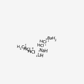 Cl.Cl.Cl.Cl.[BaH2].[CaH2].[LiH].[NaH]